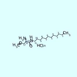 CCCCCCCCCCCCNC(=O)[C@@H](N)COC.Cl